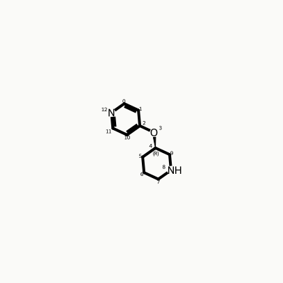 c1cc(O[C@@H]2CCCNC2)ccn1